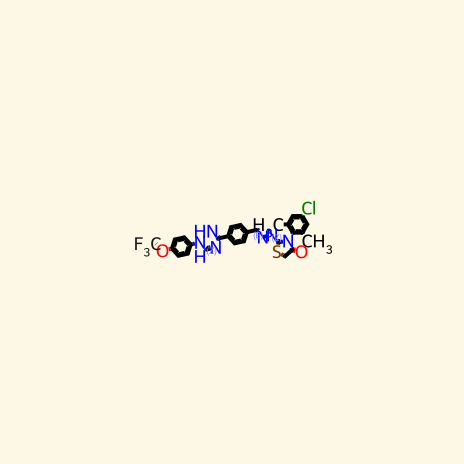 Cc1cc(Cl)cc(C)c1N1C(=O)CS/C1=N\N=C\c1ccc(C(=N)/N=C\Nc2ccc(OC(F)(F)F)cc2)cc1